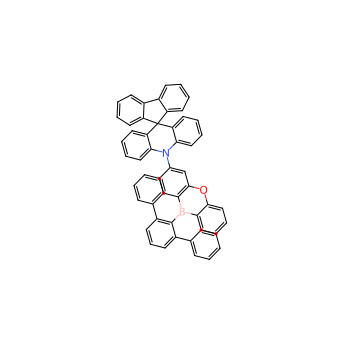 c1ccc(-c2cccc(-c3ccccc3)c2B2c3ccccc3Oc3cc(N4c5ccccc5C5(c6ccccc6-c6ccccc65)c5ccccc54)ccc32)cc1